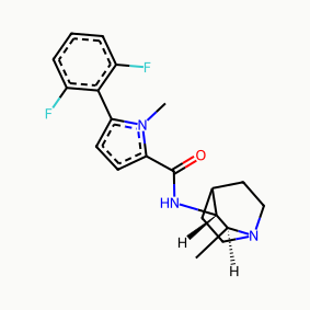 C[C@H]1[C@H](NC(=O)c2ccc(-c3c(F)cccc3F)n2C)C2CCN1CC2